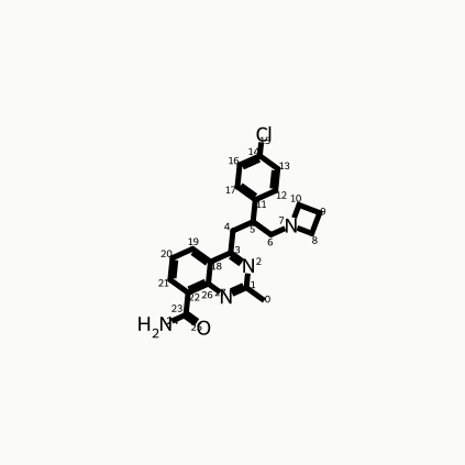 Cc1nc(CC(CN2CCC2)c2ccc(Cl)cc2)c2cccc(C(N)=O)c2n1